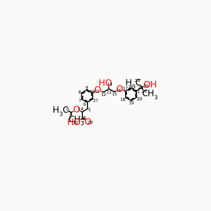 CC(C)OC(Cc1cccc(OCC(O)COc2cccc(C(C)(C)O)c2)c1)C(=O)O